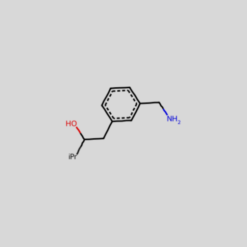 CC(C)C(O)Cc1cccc(CN)c1